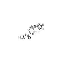 C=CC(=O)N1CCC(Nc2ccc[nH]2)CC1